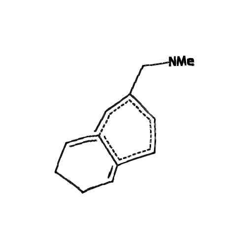 CNCc1ccc2c(c1)=CCCC=2